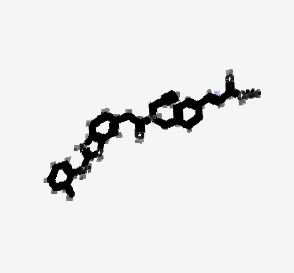 C#CCN(Cc1ccc(/C=C/C(=O)OC)cc1)C(=O)Cc1ccc2nc(Nc3ccccc3C)oc2c1